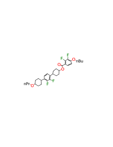 CCCCOc1ccc(C(=O)OC2CCC(c3ccc(C4CCC(OCCC)CC4)c(F)c3F)CC2)c(F)c1F